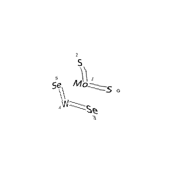 [S]=[Mo]=[S].[Se]=[W]=[Se]